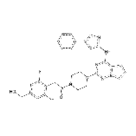 O=C(Cc1c(F)cc(CO)cc1F)N1CCN(c2nc(Nc3cn(-c4ccccc4)cn3)c3cccn3n2)CC1